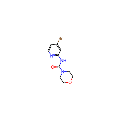 O=C(Nc1cc(Br)ccn1)N1CCOCC1